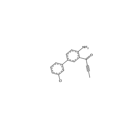 CC#CC(=O)c1cc(-c2cccc(Cl)c2)ccc1N